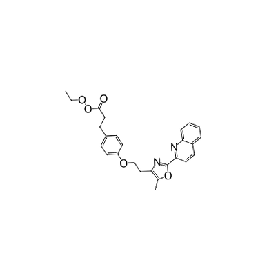 CCOOC(=O)CCc1ccc(OCCc2nc(-c3ccc4ccccc4n3)oc2C)cc1